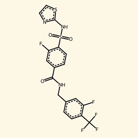 O=C(NCc1ccc(C(F)(F)F)c(F)c1)c1ccc(S(=O)(=O)Nc2nccs2)c(F)c1